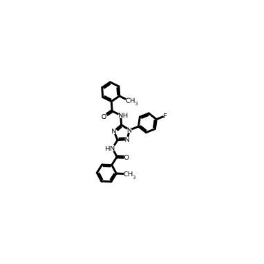 Cc1ccccc1C(=O)Nc1nc(NC(=O)c2ccccc2C)n(-c2ccc(F)cc2)n1